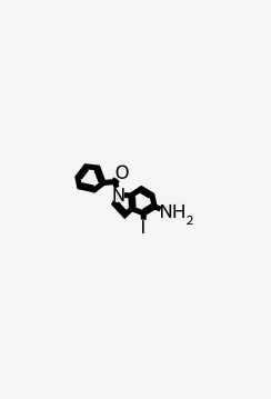 Nc1ccc2c(ccn2C(=O)c2ccccc2)c1I